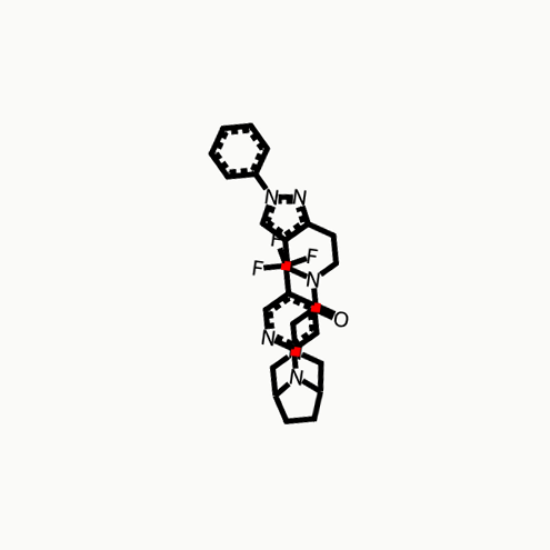 O=C(CN1CC2CCC(C1)N2c1ccc(C(F)(F)F)cn1)N1CCc2nn(-c3ccccc3)cc2C1